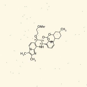 COCCO[C@@H]1c2ccn3c(C)c(C)nc3c2N[C@H](c2ccccc2)[C@H]1OC(=O)OC1CC(C)CCC1C(C)C